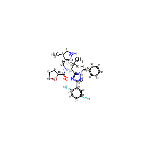 C[C@H]1CNC[C@H]1CN(C(=O)C1CCCO1)[C@@H](c1nc(-c2cc(F)ccc2F)nn1Cc1ccccc1)C(C)(C)C